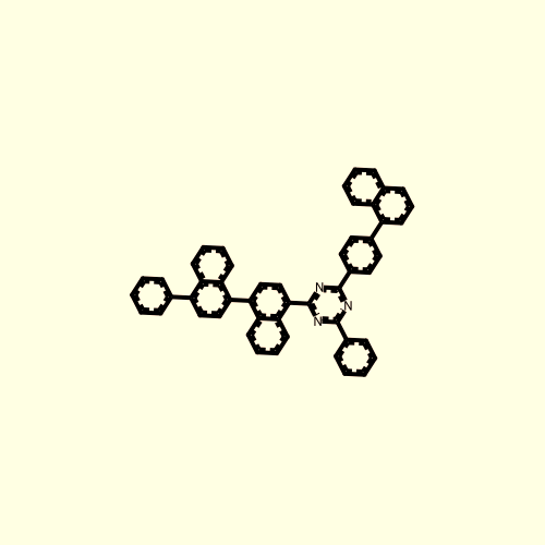 c1ccc(-c2nc(-c3ccc(-c4cccc5ccccc45)cc3)nc(-c3ccc(-c4ccc(-c5ccccc5)c5ccccc45)c4ccccc34)n2)cc1